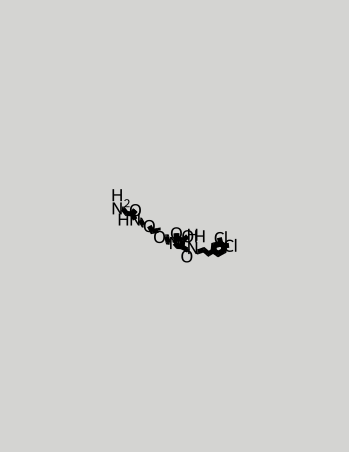 NCCC(=O)NCCOCCOCCN1CC(C(=O)NCCCc2ccc(Cl)c(Cl)c2)=C(O)C1=O